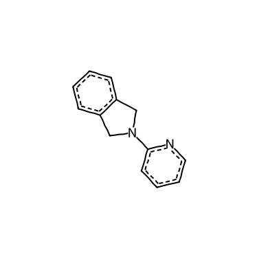 c1ccc(N2Cc3ccccc3C2)nc1